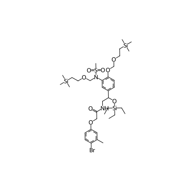 CC[Si](CC)(CC)OC(CNC(=O)COc1ccc(Br)c(C)c1)c1ccc(OCOCC[Si](C)(C)C)c(N(COCC[Si](C)(C)C)S(C)(=O)=O)c1